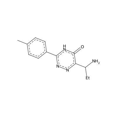 CCC(N)c1nnc(-c2ccc(C)cc2)[nH]c1=O